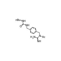 CCCCNC(=O)NCc1ccc(CN(C(=N)N)C(C)=O)cc1